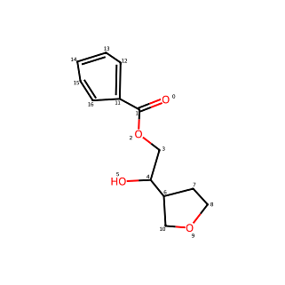 O=C(OCC(O)C1CCOC1)c1ccccc1